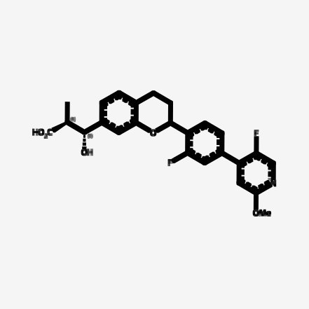 COc1cc(-c2ccc(C3CCc4ccc([C@H](O)[C@H](C)C(=O)O)cc4O3)c(F)c2)c(F)cn1